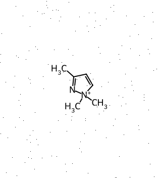 CC1=N[N+](C)(C)C=C1